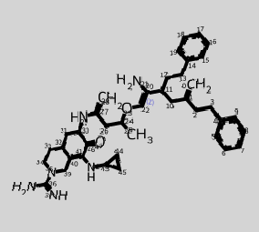 C=C(CCc1ccccc1)CC(CCc1ccccc1)/C(N)=C/OC(C)CC(=C)NC1CC2CCN(C(=N)N)CC2=C(NC2CC2)C1=O